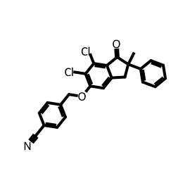 CC1(c2ccccc2)Cc2cc(OCc3ccc(C#N)cc3)c(Cl)c(Cl)c2C1=O